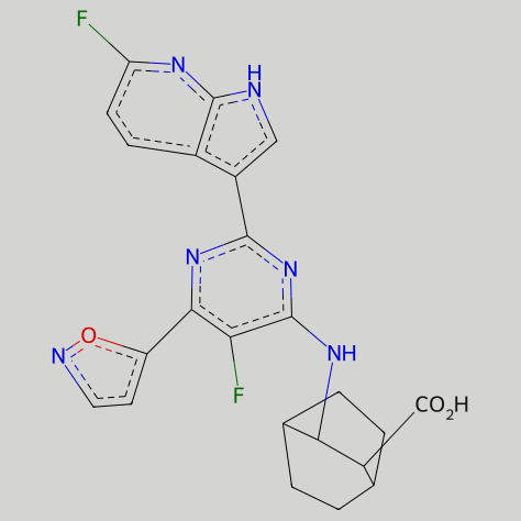 O=C(O)C1C2CCC(CC2)C1Nc1nc(-c2c[nH]c3nc(F)ccc23)nc(-c2ccno2)c1F